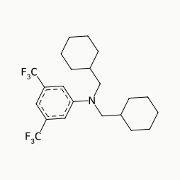 FC(F)(F)c1cc(N(CC2CCCCC2)CC2CCCCC2)cc(C(F)(F)F)c1